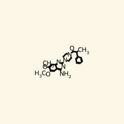 COc1cc2nc(N3CCN(C(=O)C(C)c4ccccc4)CC3)nc(N)c2cc1OC